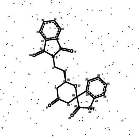 O=C1C[C@@H](CCN2C(=O)c3ccccc3C2=O)OC2(C1)C(=O)Nc1ccccc12